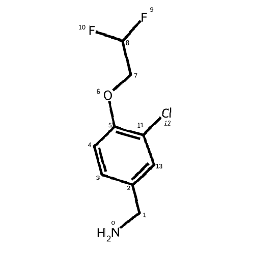 NCc1ccc(OCC(F)F)c(Cl)c1